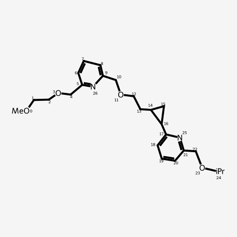 COCCOCc1cccc(COCCC2CC2c2cccc(COC(C)C)n2)n1